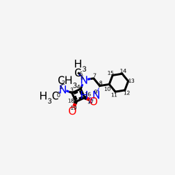 CN(C)c1c(N(C)C[C@@H](N)C2CCCCC2)c(=O)c1=O